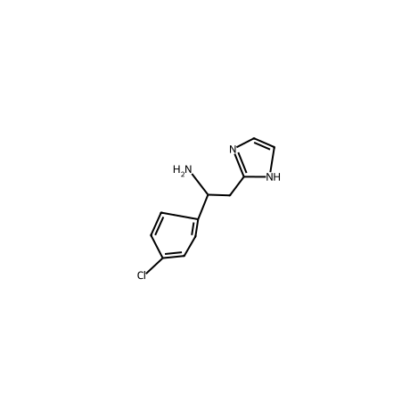 NC(Cc1ncc[nH]1)c1ccc(Cl)cc1